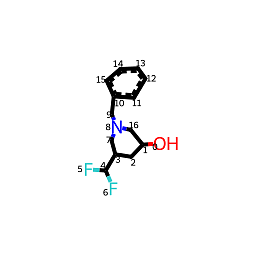 OC1CC(C(F)F)CN(Cc2ccccc2)C1